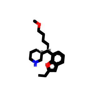 CCc1cc2cccc([C@@H](CCCCOC)[C@H]3CCCNC3)c2o1